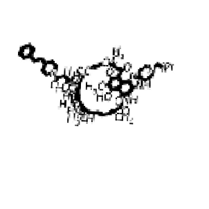 C/C1=C/C=C/[C@H](C)[C@H](O)[C@@H](C)[C@@H](O)[C@@H](C)[C@H](OC(=O)CC(=O)N2CCC(CCc3ccccc3)CC2)[C@H](C)C/C=C/O[C@@]2(C)Oc3c(C)c(O)c4c(c3C2=O)C2=NC3(CCN(CC(C)C)CC3)NC2=C(NC1=O)C4=O